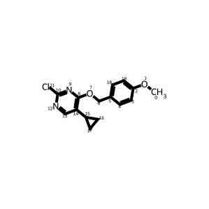 COc1ccc(COc2nc(Cl)ncc2C2CC2)cc1